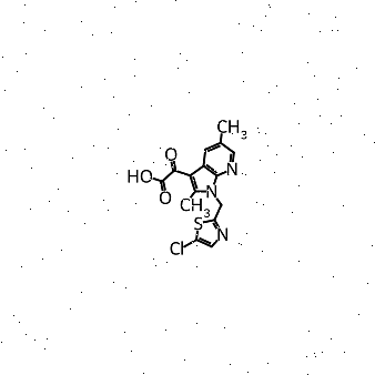 Cc1cnc2c(c1)c(C(=O)C(=O)O)c(C)n2Cc1ncc(Cl)s1